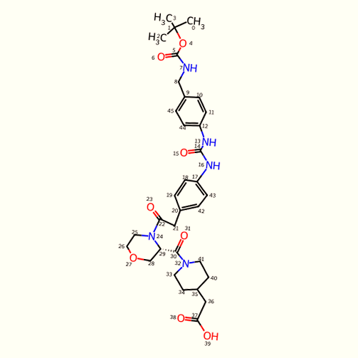 CC(C)(C)OC(=O)NCc1ccc(NC(=O)Nc2ccc(CC(=O)N3CCOC[C@H]3C(=O)N3CCC(CC(=O)O)CC3)cc2)cc1